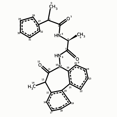 CC(C(=O)N[C@@H](C)C(=O)NN1C(=O)C(C)c2ccccc2-c2ccccc21)c1ccccc1